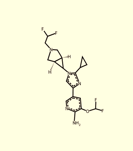 Nc1ncc(-c2cn(C3[C@H]4CN(CC(F)F)C[C@@H]34)c(C3CC3)n2)cc1OC(F)F